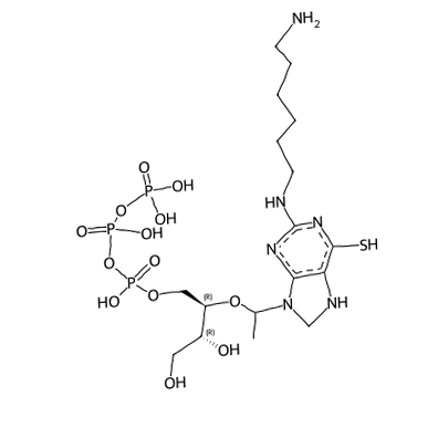 CC(O[C@H](COP(=O)(O)OP(=O)(O)OP(=O)(O)O)[C@H](O)CO)N1CNc2c(S)nc(NCCCCCCN)nc21